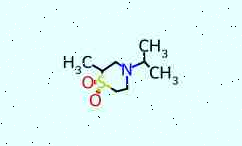 CC(C)N1CCS(=O)(=O)C(C)C1